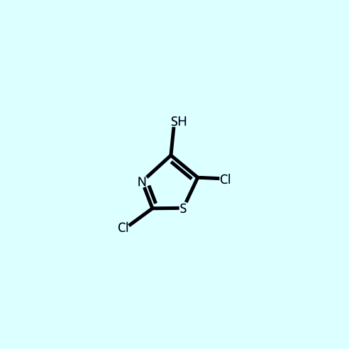 Sc1nc(Cl)sc1Cl